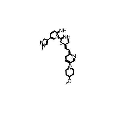 C=C/C(=C\C=C1/CC=C(N2CCC(OC)CC2)C=N1)SC(=N)n1cc(-c2cnn(C)c2)ccc1=N